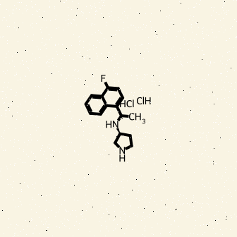 CC(N[C@H]1CCNC1)c1ccc(F)c2ccccc12.Cl.Cl